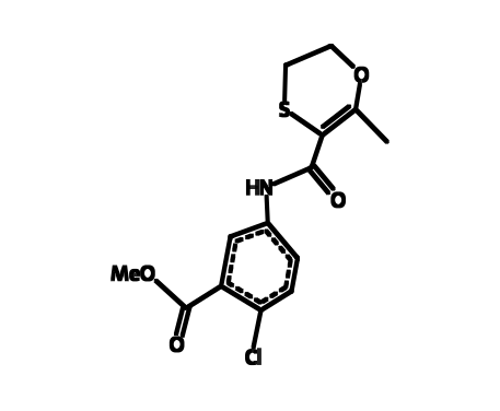 COC(=O)c1cc(NC(=O)C2=C(C)OCCS2)ccc1Cl